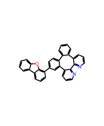 c1ccc2c(c1)-c1ccc(-c3cccc4c3oc3ccccc34)cc1-c1cccnc1-c1ncccc1-2